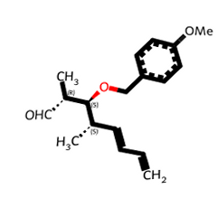 C=CC=C[C@H](C)[C@H](OCc1ccc(OC)cc1)[C@@H](C)C=O